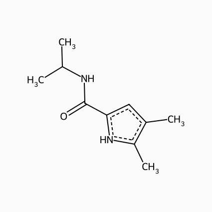 Cc1cc(C(=O)NC(C)C)[nH]c1C